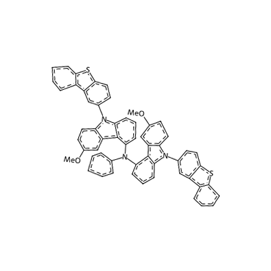 COc1ccc2c(c1)c1c(N(c3ccccc3)c3cccc4c3c3cc(OC)ccc3n4-c3ccc4sc5ccccc5c4c3)cccc1n2-c1ccc2sc3ccccc3c2c1